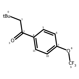 CC(C)(C)CC(=O)c1ccc(OC(F)(F)F)cc1